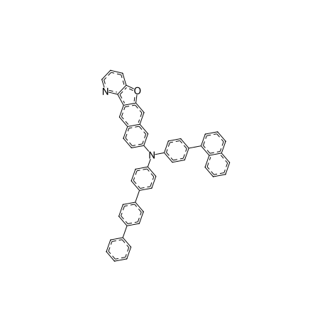 c1ccc(-c2ccc(-c3ccc(N(c4ccc(-c5cccc6ccccc56)cc4)c4ccc5cc6c(cc5c4)oc4cccnc46)cc3)cc2)cc1